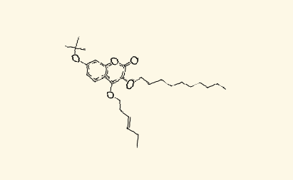 CCC=CCCOc1c(OCCCCCCCCCC)c(=O)oc2cc(OC(C)(C)C)ccc12